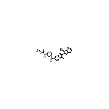 CCn1c(-c2nc3cc(C(=O)N4CCC[C@@H](NC(=O)OC(C)(C)C)C4)ccn3c2C)cc2cccnc21